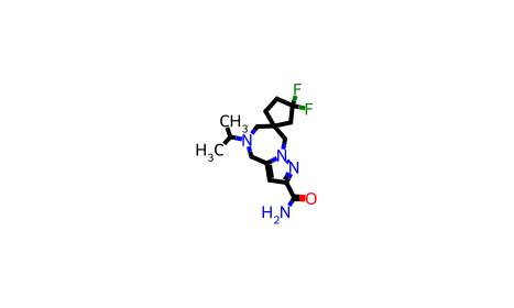 CC(C)N1Cc2cc(C(N)=O)nn2CC2(CCC(F)(F)C2)C1